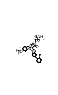 NS(=O)(=O)CCNC(=O)C(c1nc2ccc(-c3ccccc3F)cc2s1)S(=O)(=O)Cc1ccc(OC(F)(F)F)cc1